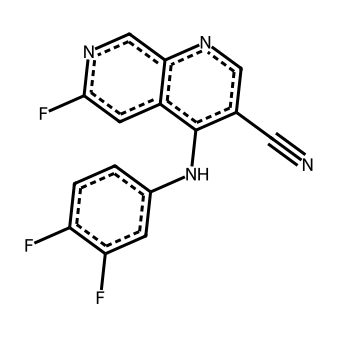 N#Cc1cnc2cnc(F)cc2c1Nc1ccc(F)c(F)c1